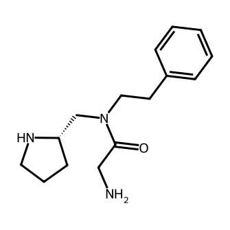 NCC(=O)N(CCc1ccccc1)C[C@@H]1CCCN1